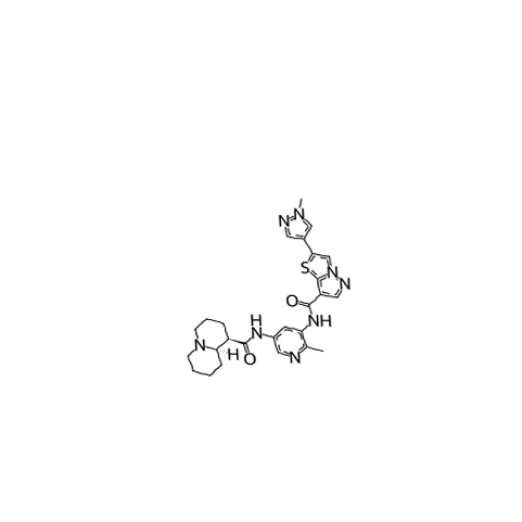 Cc1ncc(NC(=O)[C@@H]2CCCN3CCCC[C@H]23)cc1NC(=O)c1cnn2cc(-c3cnn(C)c3)sc12